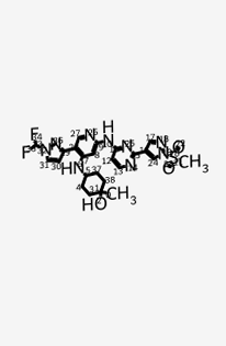 CC1(O)CCC(Nc2cc(Nc3ccnc(-c4cnn(S(C)(=O)=O)c4)n3)ncc2-c2ccn(C(F)F)n2)CC1